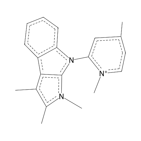 Cc1cc[n+](C)c(-n2c3ccccc3c3c(C)c(C)n(C)c32)c1